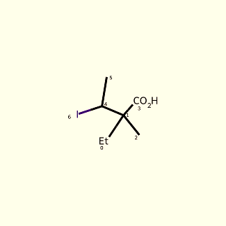 CCC(C)(C(=O)O)C(C)I